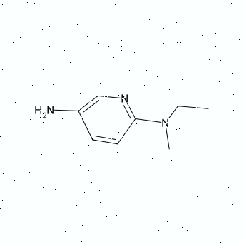 CCN(C)c1ccc(N)cn1